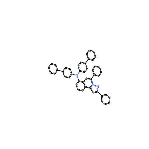 c1ccc(-c2ccc(N(c3ccc(-c4ccccc4)cc3)c3cccc4c3cc(-c3ccccc3)n3nc(-c5ccccc5)cc43)cc2)cc1